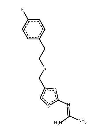 NC(N)=Nc1nc(CSCCc2ccc(F)cc2)cs1